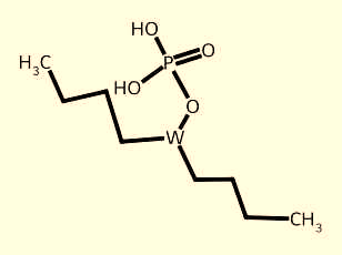 CCC[CH2][W]([CH2]CCC)[O]P(=O)(O)O